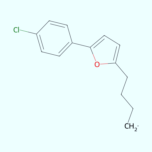 [CH2]CCCc1ccc(-c2ccc(Cl)cc2)o1